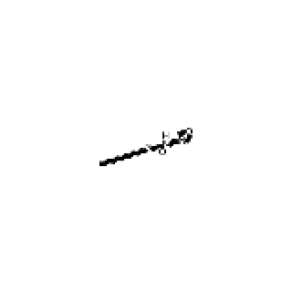 CCCCCCCCCCCCSCCC(=O)NCCCN1CCOCC1